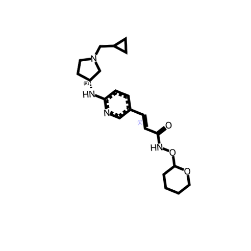 O=C(/C=C/c1ccc(N[C@@H]2CCN(CC3CC3)C2)nc1)NOC1CCCCO1